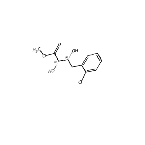 COC(=O)[C@@H](O)[C@H](O)Cc1ccccc1Cl